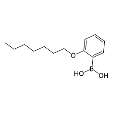 CCCCCCCOc1ccccc1B(O)O